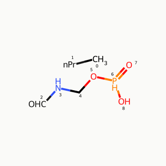 CCCC.O=CNCO[PH](=O)O